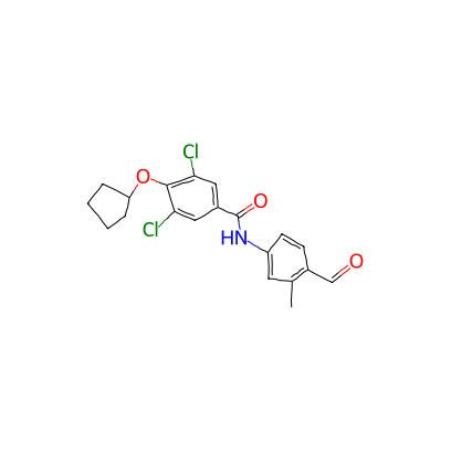 Cc1cc(NC(=O)c2cc(Cl)c(OC3CCCC3)c(Cl)c2)ccc1C=O